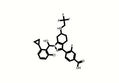 O=C(O)c1ccc(-c2nn(C(O)c3c(Cl)cccc3C3CC3)c3c2CCC(NCC(F)(F)F)C3)c(F)c1